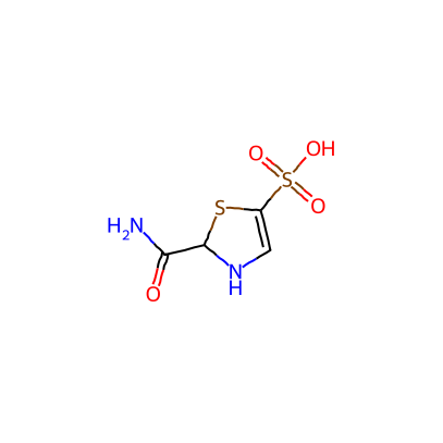 NC(=O)C1NC=C(S(=O)(=O)O)S1